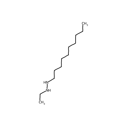 CCCCCCCCCCNNCC